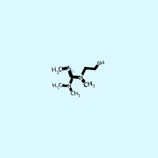 C/N=C(\N(C)C)N(C)CCS